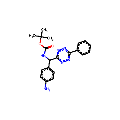 CC(C)(C)OC(=O)NC(c1ccc(N)cc1)c1nnc(-c2ccccc2)nn1